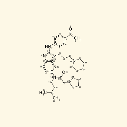 CC(=O)c1ccc(Nc2nc3ccc(N(CCC(C)C)C(=O)CC4CCCC4)nc3n2CCCN2CCCCC2)cc1